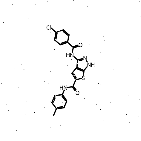 Cc1ccc(NC(=O)c2cc3c(NC(=O)c4ccc(Cl)cc4)n[nH]c3s2)cc1